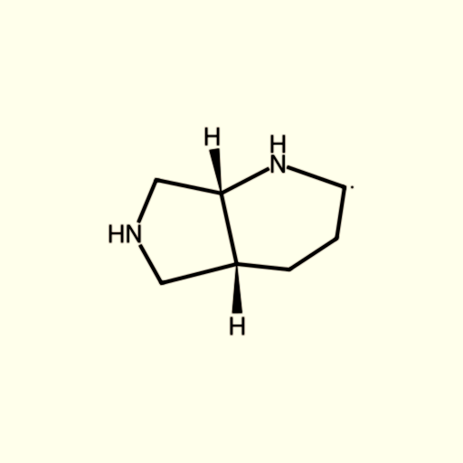 [CH]1CC[C@@H]2CNC[C@@H]2N1